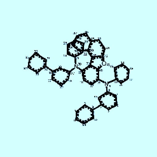 c1ccc(-c2cccc(N(c3ccccc3)c3ccc(N(c4ccccc4)c4cccc(-c5ccccc5)c4)c4c3oc3ccc5ccccc5c34)c2)cc1